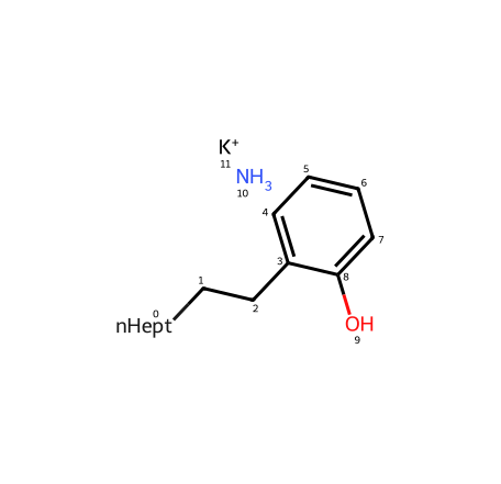 CCCCCCCCCc1ccccc1O.N.[K+]